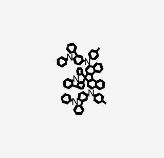 Cc1ccc(N(c2ccc3c(c2)c2ccccc2n3-c2ccccc2)c2cc3c(c4ccccc24)-c2c(cc(N(c4ccc(C)cc4)c4ccc5c(c4)c4ccccc4n5-c4ccccc4)c4ccccc24)C32c3ccccc3-n3c4ccccc4c4cccc2c43)cc1